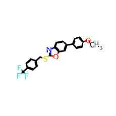 COc1ccc(-c2ccc3nc(SCc4ccc(C(F)(F)F)cc4)oc3c2)cc1